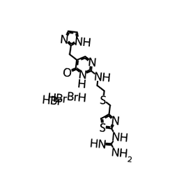 Br.Br.Br.N=C(N)Nc1nc(CSCCNc2ncc(Cc3ncc[nH]3)c(=O)[nH]2)cs1